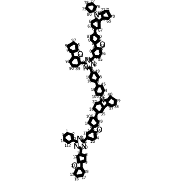 c1ccc(-c2nc(-c3ccc4c(c3)oc3ccccc34)nc(-c3ccc4oc5cc(-c6ccc7c(c6)c6ccccc6n7-c6ccc(-c7ccc(-c8nc(-c9ccc%10oc%11cc(-c%12ccc%13c(c%12)c%12ccccc%12n%13-c%12ccccc%12)ccc%11c%10c9)nc(-c9cccc%10c9oc9ccccc9%10)n8)cc7)cc6)ccc5c4c3)n2)cc1